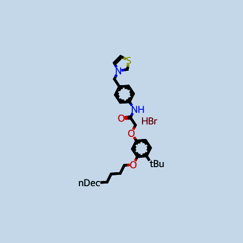 Br.CCCCCCCCCCCCCCOc1cc(OCC(=O)Nc2ccc(CN3C=CSC3)cc2)ccc1C(C)(C)C